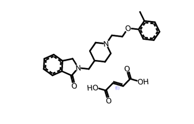 Cc1ccccc1OCCN1CCC(CN2Cc3ccccc3C2=O)CC1.O=C(O)/C=C/C(=O)O